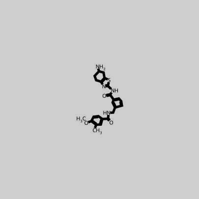 COc1ccc(C(=O)NCc2cccc(C(=O)Nc3nc4c(s3)CC(N)CC4)c2)cc1C